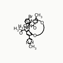 CC(=O)c1nn2c3cc(c(-c4cnc(C)nc4)cc13)OCCCCCCOC[C@@]13C[C@@H](C(=O)Nc4nc(Br)ccc4C)N(C(=O)C2)C1C3C